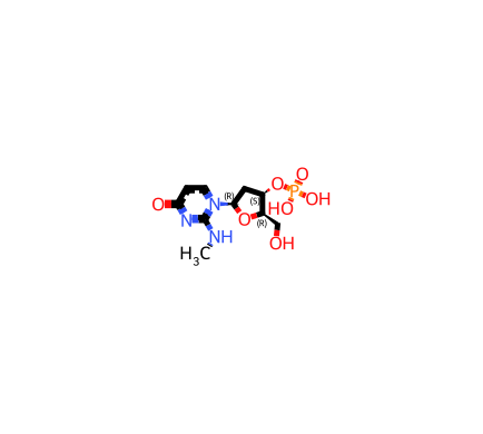 CNc1nc(=O)ccn1[C@H]1C[C@H](OP(=O)(O)O)[C@@H](CO)O1